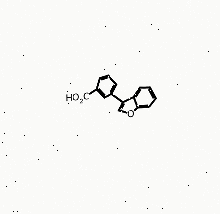 O=C(O)c1cccc(-c2coc3ccccc23)c1